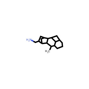 CC1C2CCCC3CC(C32)C2C3CC(CN)C(C3)C12